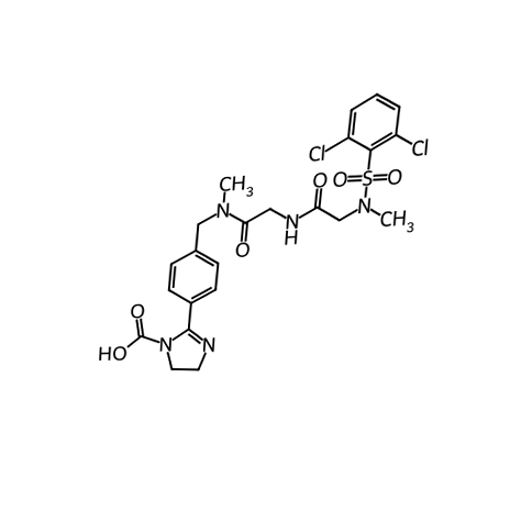 CN(Cc1ccc(C2=NCCN2C(=O)O)cc1)C(=O)CNC(=O)CN(C)S(=O)(=O)c1c(Cl)cccc1Cl